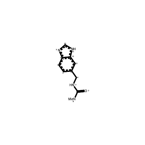 CNC(=O)NCc1ccc2nc[nH]c2c1